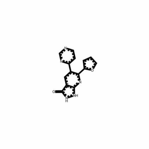 O=c1[nH][nH]c2nc(-c3ccco3)c(-c3ccncn3)cc12